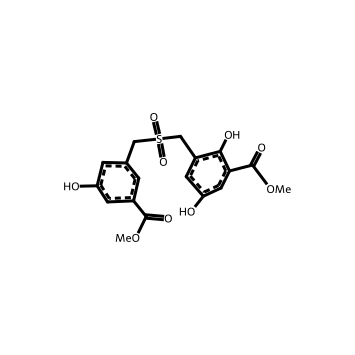 COC(=O)c1cc(O)cc(CS(=O)(=O)Cc2cc(O)cc(C(=O)OC)c2O)c1